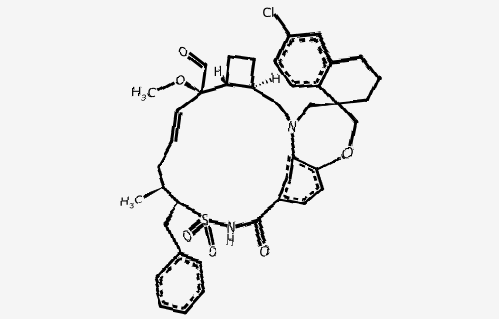 CO[C@]1(C=O)/C=C/C[C@H](C)[C@H](Cc2ccccc2)S(=O)(=O)NC(=O)c2ccc3c(c2)N(C[C@@H]2CC[C@H]21)C[C@@]1(CCCc2cc(Cl)ccc21)CO3